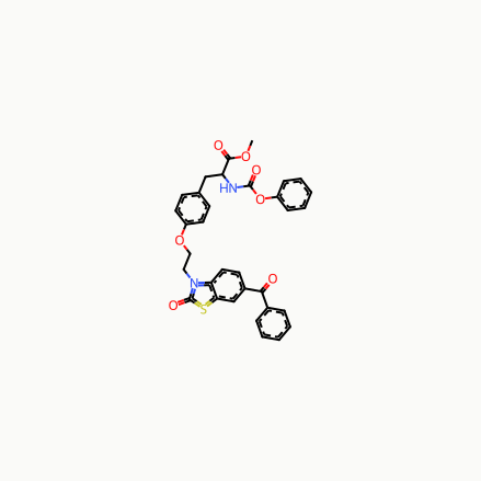 COC(=O)C(Cc1ccc(OCCn2c(=O)sc3cc(C(=O)c4ccccc4)ccc32)cc1)NC(=O)Oc1ccccc1